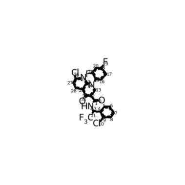 O=C(NC(c1ccccc1Cl)C(F)(F)F)c1cn(-c2ccc(F)cc2F)c2nc(Cl)ccc2c1=O